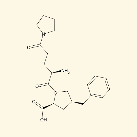 N[C@H](CCC(=O)N1CCCC1)C(=O)N1C[C@@H](Cc2ccccc2)C[C@H]1C(=O)O